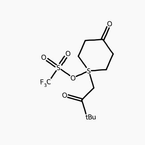 CC(C)(C)C(=O)CS1(OS(=O)(=O)C(F)(F)F)CCC(=O)CC1